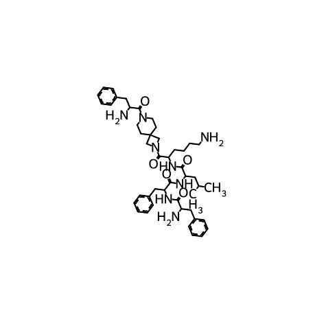 CC(C)CC(NC(=O)C(Cc1ccccc1)NC(=O)C(N)Cc1ccccc1)C(=O)NC(CCCCN)C(=O)N1CC2(CCN(C(=O)C(N)Cc3ccccc3)CC2)C1